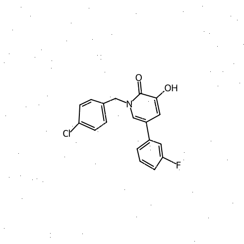 O=c1c(O)cc(-c2cccc(F)c2)cn1Cc1ccc(Cl)cc1